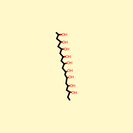 CCC(O)CC(O)CC(O)CC(O)CC(O)CC(O)CC(O)CC(O)CC(C)O